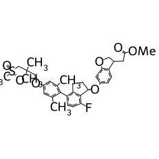 COC(=O)CC1COc2cc(O[C@@H]3CCc4c(-c5c(C)cc(OCC(C)(C)CS(C)(=O)=O)cc5C)ccc(F)c43)ccc21